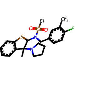 CCS(=O)(=O)N(Cc1ccc(F)c(C(F)(F)F)c1)C1Sc2ccccc2C1(C)N1CCCC1